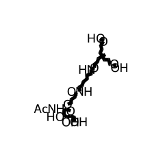 CC(=O)NC1C(OCCCC(=O)NCCCCCCNOCCCC(C)(CCCOO)CCCOO)OC(CO)C(O)C1O